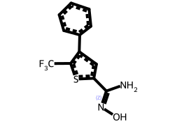 N/C(=N\O)c1cc(-c2ccccc2)c(C(F)(F)F)s1